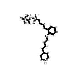 CC(NS(=O)(=O)CCCCc1ccccc1OCCCCC1CCNCC1)P(=O)(O)O